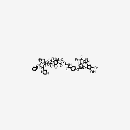 CCNC(=O)c1nnc(-c2cc(C(C)C)c(O)cc2O)n1-c1ccc(Oc2ccc(C(=O)NCCN(C)C(=O)c3ccc(C4(C)OB([C@H](CC(C)C)NC(=O)[C@H](Cc5ccccc5)NC(=O)c5cnccn5)OC4(C)C)cc3)cc2)cc1